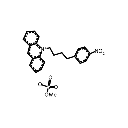 COS(=O)(=O)[O-].O=[N+]([O-])c1ccc(CCCC[n+]2c3ccccc3cc3ccccc32)cc1